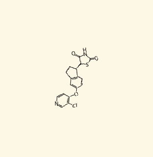 O=C1NC(=O)C([C@@H]2CCc3cc(Oc4ccncc4Cl)ccc32)S1